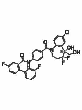 O=C(Nc1ccc(C(=O)N2CCC(F)(F)[C@](O)(CO)c3cc(Cl)ccc32)cc1)c1cc(F)ccc1-c1cccc(F)c1